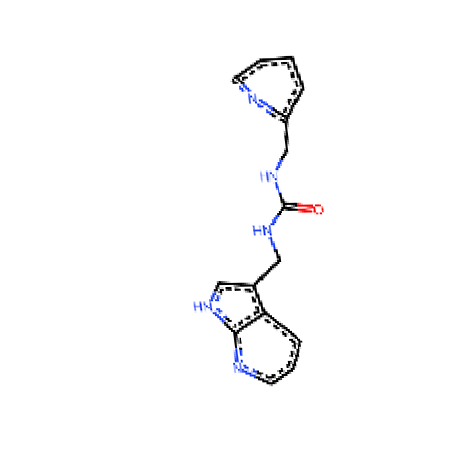 O=C(NCc1ccccn1)NCc1c[nH]c2ncccc12